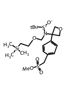 COS(=O)(=O)Cc1ccc(C2(N(COCC[Si](C)(C)C)[S+]([O-])C(C)(C)C)COC2)cc1